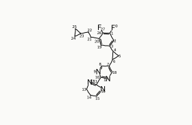 Fc1cc(C2CC2c2cnc(C3=NCCC=N3)nc2)cc(CCC2CC2)c1F